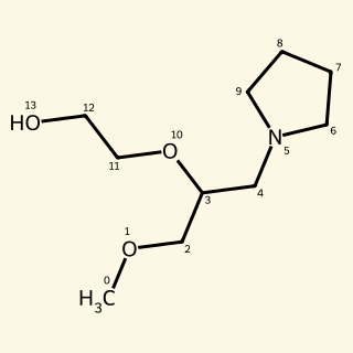 COCC(CN1CCCC1)OCCO